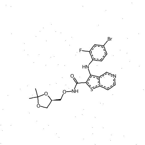 CC1(C)OC[C@H](CONC(=O)c2sc3ccncc3c2Nc2ccc(Br)cc2F)O1